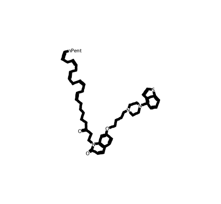 CCCCC/C=C\C/C=C\C/C=C\C/C=C\C/C=C\CCCCCC(=O)CCn1c(=O)ccc2ccc(OCCCCN3CCN(c4cccc5sccc45)CC3)cc21